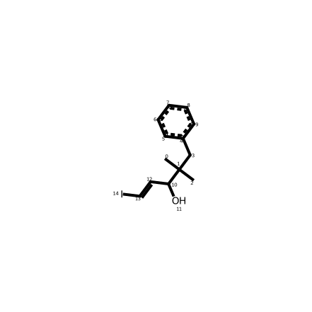 CC(C)(Cc1ccccc1)C(O)C=CI